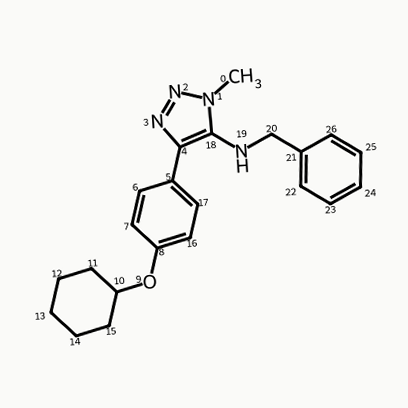 Cn1nnc(-c2ccc(OC3CCCCC3)cc2)c1NCc1ccccc1